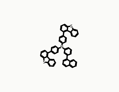 c1cc(-c2cccc3ccccc23)cc(N(c2ccc(-c3cccc4sc5ccccc5c34)cc2)c2ccc(-c3cccc4sc5ccccc5c34)cc2)c1